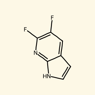 Fc1cc2cc[nH]c2nc1F